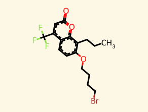 CCCc1c(OCCCCBr)ccc2c(C(F)(F)F)cc(=O)oc12